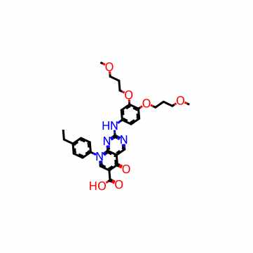 CCc1ccc(-n2cc(C(=O)O)c(=O)c3cnc(Nc4ccc(OCCCOC)c(OCCCOC)c4)nc32)cc1